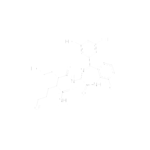 Cc1cc(C)cc(C2=NC(NC(=O)C(CCC(F)(F)F)C(CCCC(F)(F)F)C(N)=O)C(=O)Nc3c(Cl)cccc32)c1